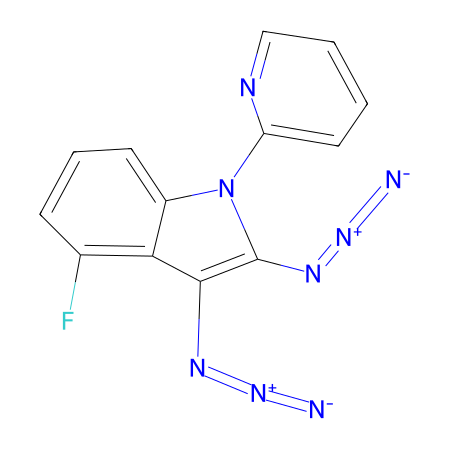 [N-]=[N+]=Nc1c(N=[N+]=[N-])n(-c2ccccn2)c2cccc(F)c12